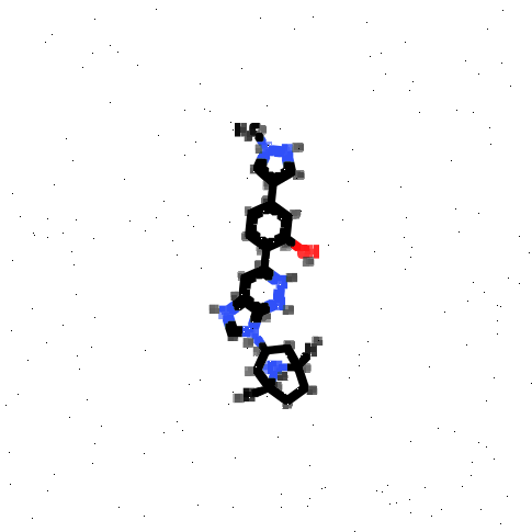 Cn1cc(-c2ccc(-c3cc4ncn([C@@H]5C[C@H]6CC[C@@H](C5)N6)c4nn3)c(O)c2)cn1